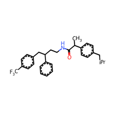 CC(C)Cc1ccc(C(C)C(=O)NCCC(Cc2ccc(C(F)(F)F)cc2)c2ccccc2)cc1